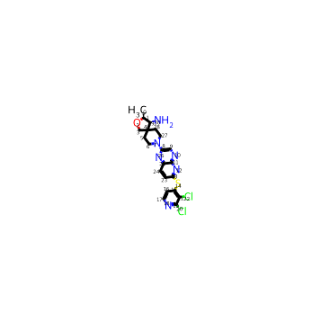 C[C@@H]1OCC2(CCN(c3cnc4nc(Sc5ccnc(Cl)c5Cl)ccc4n3)CC2)[C@@H]1N